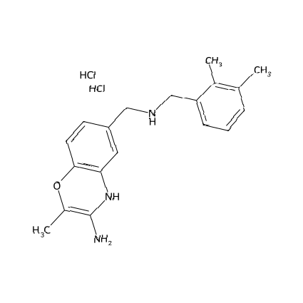 CC1=C(N)Nc2cc(CNCc3cccc(C)c3C)ccc2O1.Cl.Cl